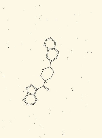 O=C(N1CCC(c2ccc3ccccc3c2)CC1)n1nnc2ncccc21